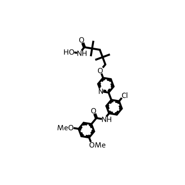 COc1cc(OC)cc(C(=O)Nc2ccc(Cl)c(-c3ccc(OCC(C)(C)CC(C)(C)C(=O)NO)cn3)c2)c1